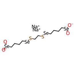 O=[Se]([O-])CCCC[Se]SCCS[Se]CCCC[Se](=O)[O-].[Na+].[Na+]